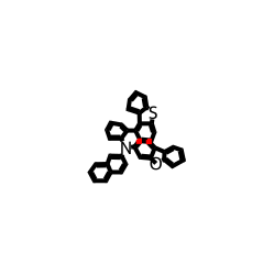 c1ccc(N(c2ccc3ccccc3c2)c2ccc3c(c2)oc2ccccc23)c(-c2cccc3sc4ccccc4c23)c1